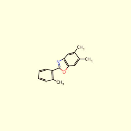 Cc1[c]cccc1-c1nc2cc(C)c(C)cc2o1